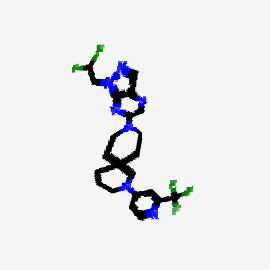 FC(F)Cn1ncc2ncc(N3CCC4(CCCN(c5ccnc(C(F)(F)F)c5)C4)CC3)nc21